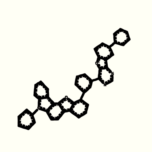 c1ccc(-c2ccc3oc4c(-c5cccc(-c6cccc7c6oc6c7ccc7c6c6ccccc6n7-c6ccccc6)c5)ncnc4c3c2)cc1